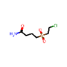 NC(=O)CCCS(=O)(=O)CCCl